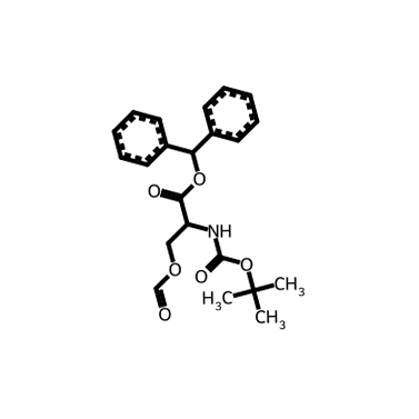 CC(C)(C)OC(=O)NC(COC=O)C(=O)OC(c1ccccc1)c1ccccc1